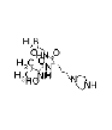 BC(=O)CNC(=O)[C@H](CCCCN1CCNCC1)NC(=O)[C@@H](NO)C(C)C